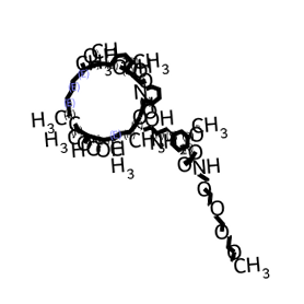 CCOCCOCCOCCOCCNC(=O)O[C@@H]1CC[C@@H](C[C@@H](N)C(O)C[C@H]2OC(=O)[C@@H]3CCCCN3C(=O)C(=O)[C@]3(O)O[C@@H](CC[C@H]3C)C[C@H](OC)/C(C)=C/C=C/C=C/[C@@H](C)C[C@@H](C)C(=O)[C@H](O)[C@H](O)/C(C)=C/[C@H]2C)C[C@H]1OC